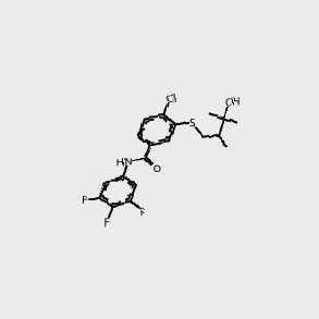 CC(CSc1cc(C(=O)Nc2cc(F)c(F)c(F)c2)ccc1Cl)C(C)(C)O